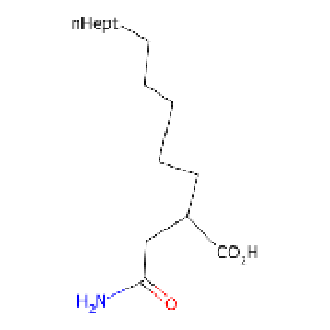 CCCCCCCCCCCCC(CC(N)=O)C(=O)O